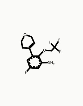 Nc1cc(F)cc(C2=CCOCC2)c1OCC(F)(F)F